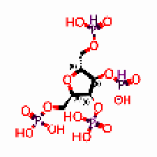 O=[PH](O)OC[C@H]1O[C@H](COP(=O)(O)O)[C@@H](OP(=O)(O)O)[C@@H]1O[PH](=O)O